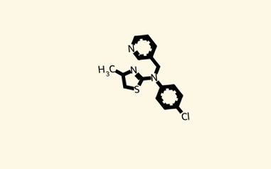 CC1CSC(N(Cc2cccnc2)c2ccc(Cl)cc2)=N1